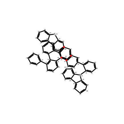 c1ccc(-c2ccccc2-c2c(-c3ccccc3)cccc2N(c2ccc(-c3ccccc3-n3c4ccccc4c4ccccc43)cc2)c2ccc3sc4ccccc4c3c2)cc1